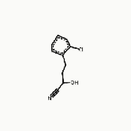 N#CC(O)CCc1ccccc1Cl